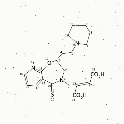 CN1CC(CCN2CCCCC2)Oc2ncccc2C1=S.O=C(O)/C=C/C(=O)O